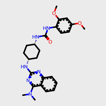 COc1ccc(NC(=O)N[C@H]2CC[C@@H](Nc3nc(N(C)C)c4ccccc4n3)CC2)c(OC)c1